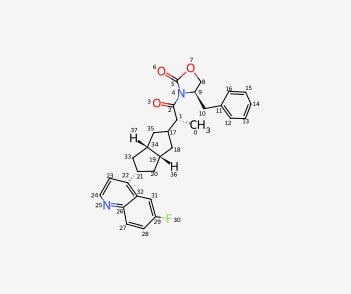 C[C@@H](C(=O)N1C(=O)OC[C@H]1Cc1ccccc1)C1C[C@@H]2C[C@H](c3ccnc4ccc(F)cc34)C[C@@H]2C1